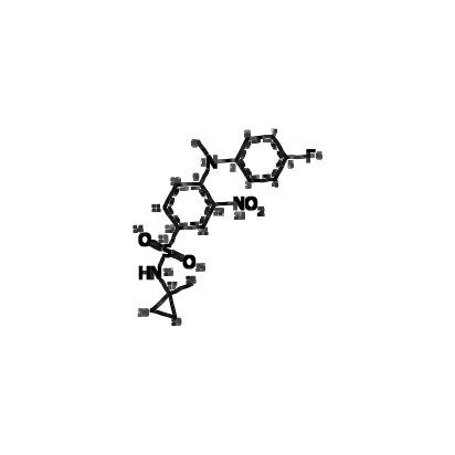 CN(c1ccc(F)cc1)c1ccc(S(=O)(=O)NC2(C)CC2)cc1[N+](=O)[O-]